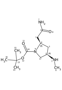 CN[C@@H]1C[C@H](CC(N)=O)N(C(=O)OC(C)(C)C)C1